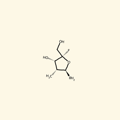 B[C@@H]1O[C@](F)(CO)[C@@H](O)[C@H]1C